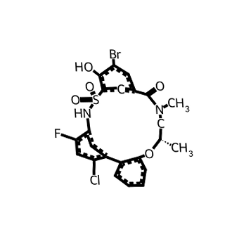 C[C@H]1CN(C)C(=O)c2cc(Br)c(O)c(c2)S(=O)(=O)Nc2cc(c(Cl)cc2F)-c2ccccc2O1